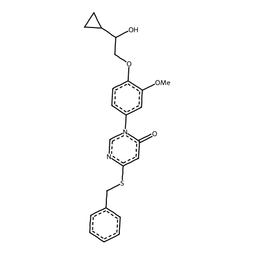 COc1cc(-n2cnc(SCc3ccccc3)cc2=O)ccc1OCC(O)C1CC1